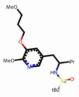 COCCCOc1cc(CC(N[S@+]([O-])C(C)(C)C)C(C)C)cnc1OC